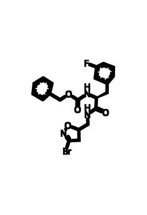 O=C(N[C@@H](Cc1cccc(F)c1)C(=O)NCC1CC(Br)=NO1)OCc1ccccc1